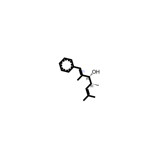 CC(C)=C[C@@H](C)[C@@H](O)/C(C)=C/c1ccccc1